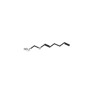 C=CCC/C=C/OCC(=O)O